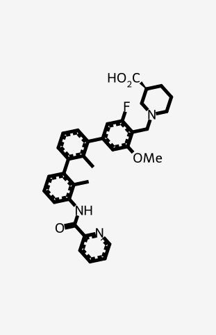 COc1cc(-c2cccc(-c3cccc(NC(=O)c4ccccn4)c3C)c2C)cc(F)c1CN1CCC[C@H](C(=O)O)C1